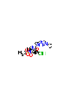 CC(C)[C@@H]1C(=O)N(S(C)(=O)=O)[C@@H]2CCN(C(=O)c3ccc(CN4CCN(c5ccccc5)CC4)[nH]3)[C@H]21.Cl